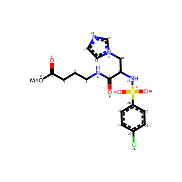 COC(=O)CCCNC(=O)C(Cn1ccnc1)NS(=O)(=O)c1ccc(Cl)cc1